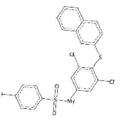 O=S(=O)(Nc1cc(Cl)c(Sc2ccc3ccccc3c2)c(Cl)c1)c1ccc(I)cc1